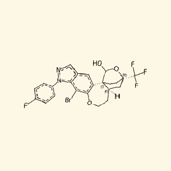 OC1O[C@]2(C(F)(F)F)CC[C@]13c1cc4cnn(-c5ccc(F)cc5)c4c(Br)c1OCC[C@@H]3C2